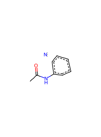 CC(=O)Nc1ccccc1.[N]